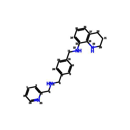 c1ccc(CNCc2ccc(CNc3cccc4c3NCCC4)cc2)nc1